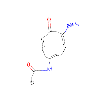 CCC(=O)Nc1ccc(N)c(=O)cc1